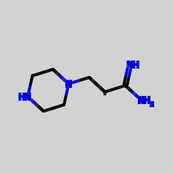 N=C(N)[CH]CN1CCNCC1